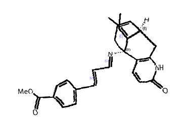 C/C=C1\[C@H]2C=C(C)C[C@]1(/N=C/C=C/c1ccc(C(=O)OC)cc1)c1ccc(=O)[nH]c1C2